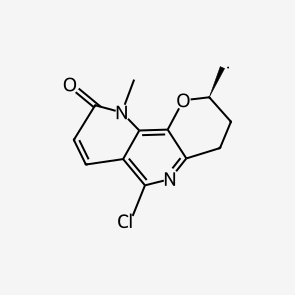 [CH2][C@H]1CCc2nc(Cl)c3ccc(=O)n(C)c3c2O1